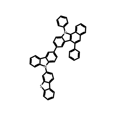 c1ccc(-c2cc3ccccc3c3c2c2cc(-c4ccc5c(c4)c4ccccc4n5-c4ccc5c(c4)sc4ccccc45)ccc2n3-c2ccccc2)cc1